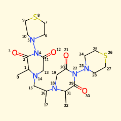 CC1C(=O)N(N2CCSCC2)C(=O)CN1CC(C)N1CC(=O)N(N2CCSCC2)C(=O)C1C